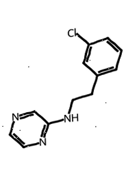 Clc1cccc(CCNc2cnccn2)c1